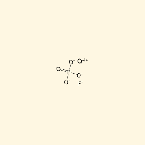 O=P([O-])([O-])[O-].[Cr+4].[F-]